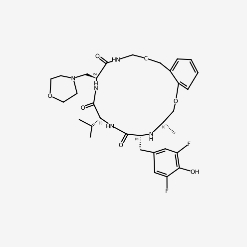 CC(C)[C@H]1NC(=O)[C@@H](Cc2cc(F)c(O)c(F)c2)N[C@@H](C)COc2ccccc2CCCNC(=O)[C@H](CN2CCOCC2)NC1=O